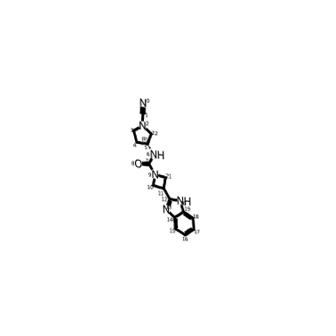 N#CN1CC[C@@H](NC(=O)N2CC(c3nc4ccccc4[nH]3)C2)C1